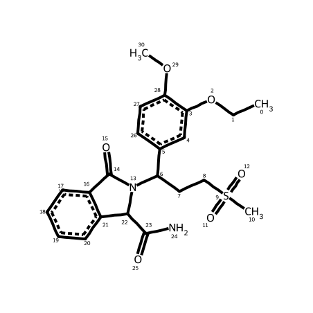 CCOc1cc(C(CCS(C)(=O)=O)N2C(=O)c3[c]cccc3C2C(N)=O)ccc1OC